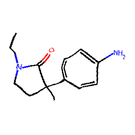 CCN1CCC(C)(c2ccc(N)cc2)C1=O